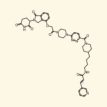 O=C(/C=C/c1cccnc1)NCCCCC1CCN(C(=O)c2ccc(N3CCN(C(=O)COc4cccc5c4CN(C4CCC(=O)NC4=O)C5=O)CC3)nn2)CC1